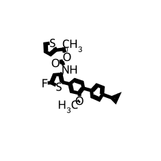 COc1cc(-c2sc(F)cc2NC(=O)O[C@H](C)c2cccs2)ccc1-c1ccc(C2CC2)cc1